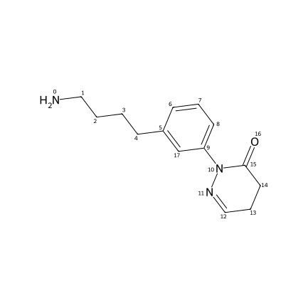 NCCCCc1cccc(N2N=CCCC2=O)c1